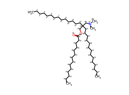 CCCCCCCCCCCCCCC(CCCCCCCCCCCCCC)(COC(=O)CCCCCCCCCCCCC)CN(C)C